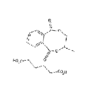 CC1COC(=O)c2ccccc2C(=O)O1.O=C(O)CCCCC(=O)O